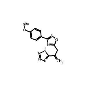 C=C(Cc1nc(-c2ccc(OCCCC)cc2)no1)c1nnn[nH]1